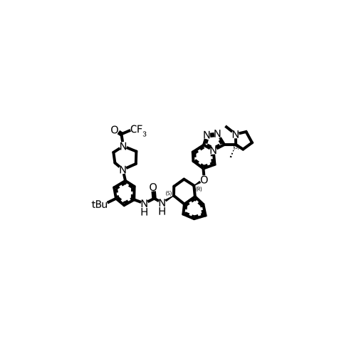 CN1CCC[C@@]1(C)c1nnc2ccc(O[C@@H]3CC[C@H](NC(=O)Nc4cc(N5CCN(C(=O)C(F)(F)F)CC5)cc(C(C)(C)C)c4)c4ccccc43)cn12